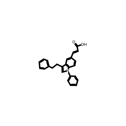 O=C(O)/C=C/c1ccc2c(c1)c(CCc1ccccc1)cn2-c1ccccc1